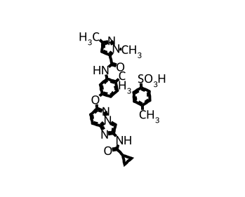 Cc1cc(C(=O)Nc2cc(Oc3ccc4nc(NC(=O)C5CC5)cn4n3)ccc2C)n(C)n1.Cc1ccc(S(=O)(=O)O)cc1